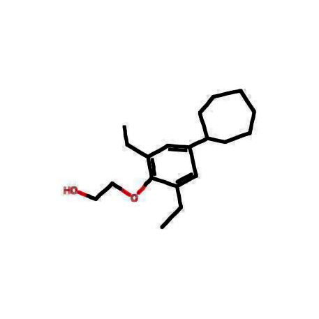 CCc1cc(C2CCCCCC2)cc(CC)c1OCCO